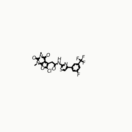 Cn1c(=O)c2c(CC(=O)Nc3nc(-c4cc(F)cc(C(F)(F)F)c4)cs3)c(Cl)oc2n(C)c1=O